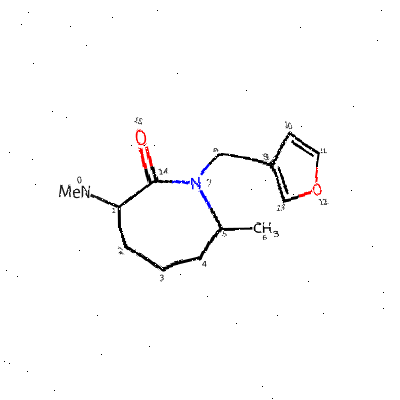 CNC1CCCC(C)N(Cc2ccoc2)C1=O